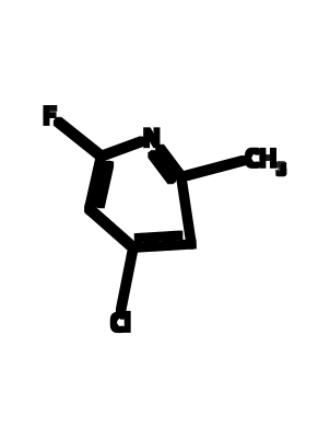 Cc1cc(Cl)cc(F)n1